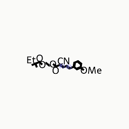 CCC(C)(C)C(=O)OCCOC(=O)/C(C#N)=C/C=C/c1cccc(OC)c1